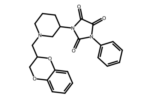 O=C1C(=O)N(C2CCCN(CC3COc4ccccc4O3)C2)C(=O)N1c1ccccc1